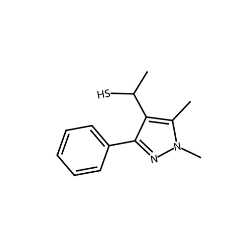 Cc1c(C(C)S)c(-c2ccccc2)nn1C